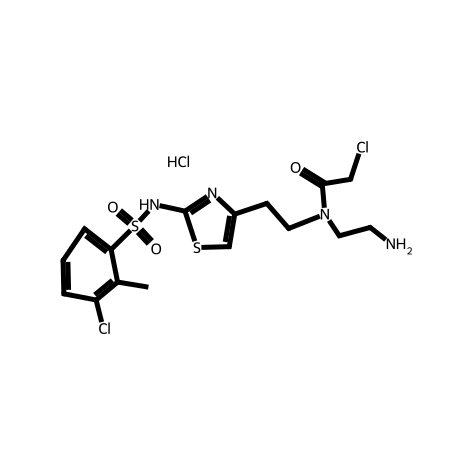 Cc1c(Cl)cccc1S(=O)(=O)Nc1nc(CCN(CCN)C(=O)CCl)cs1.Cl